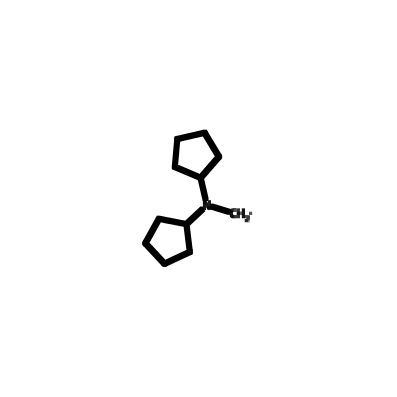 [CH2]N(C1CCCC1)C1CCCC1